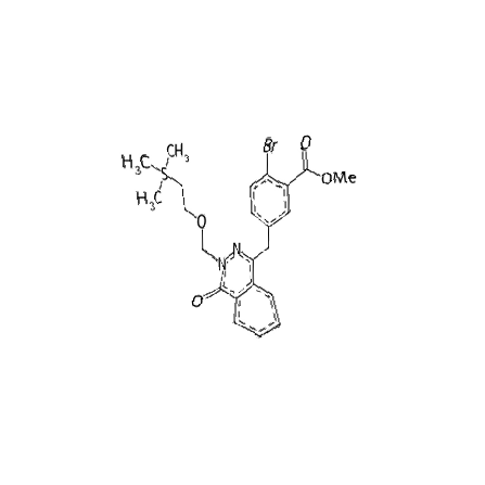 COC(=O)c1cc(Cc2nn(COCCS(C)(C)C)c(=O)c3ccccc23)ccc1Br